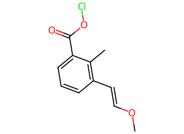 COC=Cc1cccc(C(=O)OCl)c1C